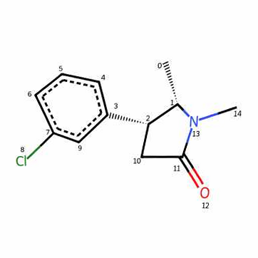 C[C@H]1[C@@H](c2cccc(Cl)c2)CC(=O)N1C